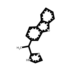 CC(c1ccc2c(c1)oc1ccccc12)c1ncc[nH]1